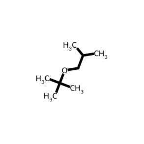 C[C](C)COC(C)(C)C